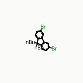 CCCCC1(CCCC)c2ccc(Br)cc2-c2cc(Br)ccc21